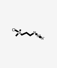 C[Si](C)(Cl)CCCN=[N+]=[N-]